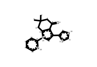 CC1(C)CC(=O)c2c(-c3cncs3)cn(-c3ccccn3)c2C1